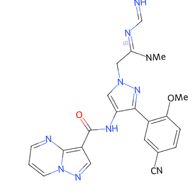 CN/C(Cn1cc(NC(=O)c2cnn3cccnc23)c(-c2cc(C#N)ccc2OC)n1)=N\C=N